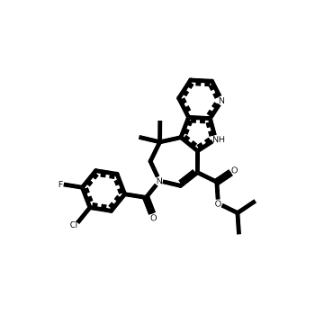 CC(C)OC(=O)C1=CN(C(=O)c2ccc(F)c(Cl)c2)CC(C)(C)c2c1[nH]c1ncccc21